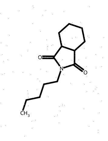 CCCCCN1C(=O)C2CCCCC2C1=O